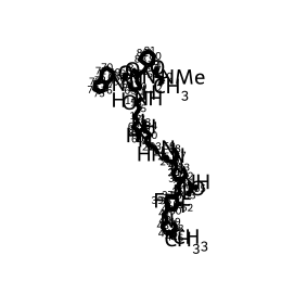 CN[C@@H](C)C(=O)N[C@H](C(=O)N1CC(NC(=O)CCN2C[C@H]3CN(CCNc4cc(N5CCC6(CC5)CN(c5cc(F)c(CN7CCC(C)(C)CC7)cc5F)CC(=O)N6)ncn4)C[C@H]3C2)C[C@H]1C(=O)N[C@H]1CCCc2ccccc21)C1CCCCC1